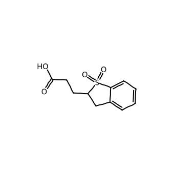 O=C(O)CCC1Cc2ccccc2S1(=O)=O